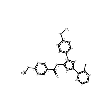 Cc1cccnc1-c1nc(NC(=O)c2ccc(CN)cc2)n(-c2ccc(OC(F)(F)F)cc2)n1